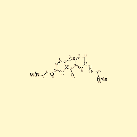 CNCCOc1ccc2sc3ccc(OCCNC)cc3c(=O)c2c1